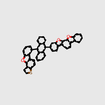 c1ccc2c(c1)oc1c2ccc2c3ccc(-c4c5ccccc5c(-c5cccc6oc7c8ccsc8ccc7c56)c5ccccc45)cc3oc21